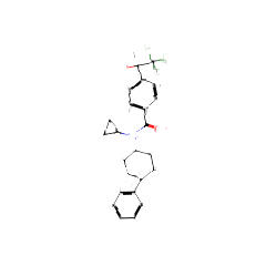 C[C@](O)(c1ccc(C(=O)N(C2CC2)[C@H]2CC[C@](C)(c3ccccc3)CC2)cc1)C(F)(F)F